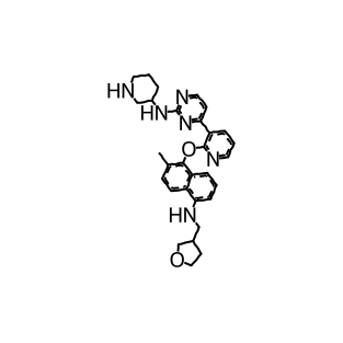 Cc1ccc2c(NCC3CCOC3)cccc2c1Oc1ncccc1-c1ccnc(NC2CCCNC2)n1